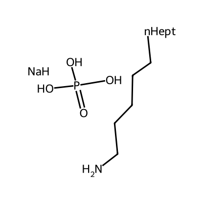 CCCCCCCCCCCCN.O=P(O)(O)O.[NaH]